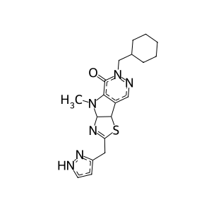 CN1c2c(cnn(CC3CCCCC3)c2=O)C2SC(Cc3cc[nH]n3)=NC21